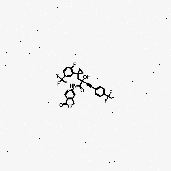 O=C1OCc2cc(NC(=O)C(O)(C#Cc3ccc(C(F)(F)F)cc3)CC3(c4cc(C(F)(F)F)ccc4F)CC3)ccc21